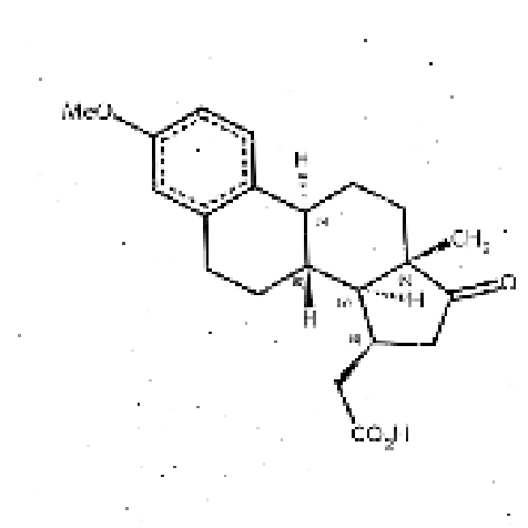 COc1ccc2c(c1)CC[C@H]1[C@@H]3[C@H](CC(=O)O)CC(=O)[C@@]3(C)CC[C@H]21